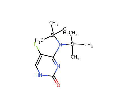 C[Si](C)(C)N(c1nc(=O)[nH]cc1F)[Si](C)(C)C